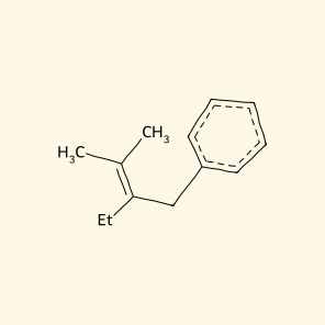 CCC(Cc1ccccc1)=C(C)C